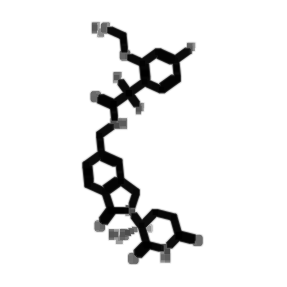 B[C@]1(N2Cc3cc(CNC(=O)C(F)(F)c4ccc(F)cc4OCC(F)(F)F)ccc3C2=O)CCC(=O)NC1=O